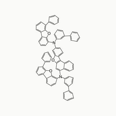 c1ccc(-c2cccc(N(c3ccc4c(c3)oc3cc(N(c5cccc(-c6ccccc6)c5)c5cccc6c5oc5c(-c7ccccc7)cccc56)c5ccccc5c34)c3cccc4c3oc3c(-c5ccccc5)cccc34)c2)cc1